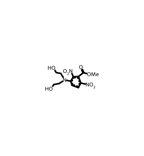 COC(=O)c1c([N+](=O)[O-])ccc(N(CCO)CCO)c1[N+](=O)[O-]